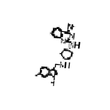 Cc1ccc2c(CN[C@H]3CC[C@@H](Nc4nc(N(C)C)c5ccccc5n4)CC3)c[nH]c2c1